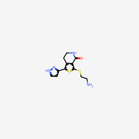 NCCSc1sc(-c2cc[nH]n2)c2c1C(=O)NCC2